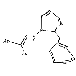 CC(=O)C(=CNN1C=CC=NC1c1ccncc1)C(C)=O